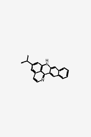 CC(C)c1cc2c3c(nccc3c1)-c1cc3ccccc3cc1N2